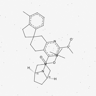 Cc1cccc2c1CCC21CCc2c(nc([S+](C)[O-])nc2N2C[C@H]3CC[C@@H](C2)N3C(=O)OC(C)(C)C)C1